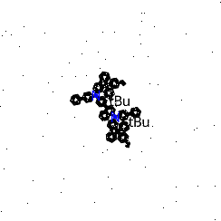 C=Cc1ccc(C2(c3ccc(C(C)(C)C)cc3)c3ccccc3-c3ccc(N(c4ccc(-c5ccccc5)cc4)c4ccc(-c5ccc(N(c6ccc(-c7ccccc7)cc6)c6ccc7c(c6)C(c6ccc(C=C)cc6)(c6ccc(C(C)(C)C)cc6)c6ccccc6-7)c6ccccc56)cc4)cc32)cc1